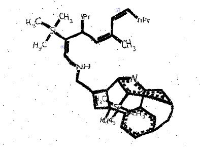 CCC/C=C\C(C)=CC(/C(=C\NCC1=CC2(C)c3ccc4cc3-c3cc(c([Si](C)(C)C)c(n3)C12)C4)[Si](C)(C)C)C(C)C